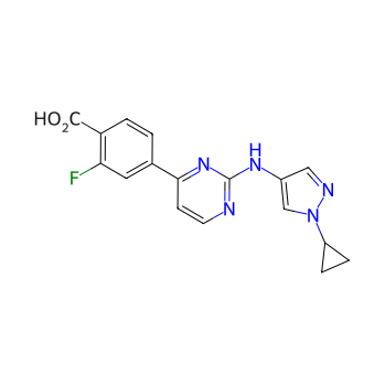 O=C(O)c1ccc(-c2ccnc(Nc3cnn(C4CC4)c3)n2)cc1F